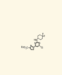 CCOC(=O)c1ccn(-c2cc(Cl)nc(NC3CCC(F)(F)CC3)n2)n1